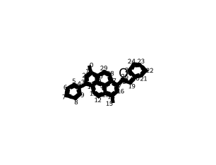 Cc1cc(-c2ccccc2)c2ccc3c(C)cc(-c4cc5ccccc5o4)c4ccc1c2c34